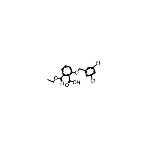 CCOC(=O)c1cccc(OCc2cc(Cl)cc(Cl)c2)c1C(=O)O